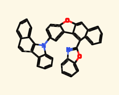 c1ccc2c(-c3nc4ccccc4o3)c3c(cc2c1)oc1ccc(-n2c4ccccc4c4ccc5ccccc5c42)cc13